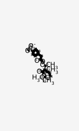 CC(OOC(=O)Cc1ccc([N+](=O)[O-])cc1)[C@@H]1C(=O)N2C(C)(C)OCCC12C